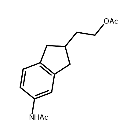 CC(=O)Nc1ccc2c(c1)CC(CCOC(C)=O)C2